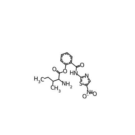 CCC(C)C(N)C(=O)Oc1ccccc1C(=O)Nc1ncc([N+](=O)[O-])s1